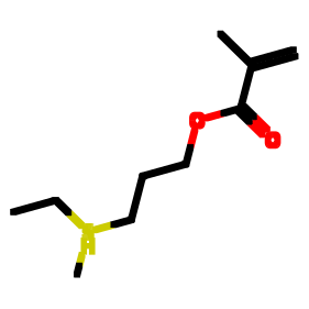 C=C(C)C(=O)OCCC[SH](C)CC